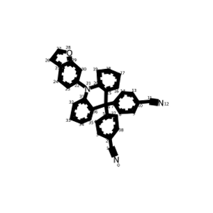 N#Cc1ccc(C2(c3ccc(C#N)cc3)c3ccccc3N(c3ccc4ccoc4c3)c3ccccc32)cc1